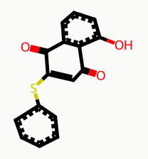 O=C1C(Sc2ccccc2)=CC(=O)c2c(O)cccc21